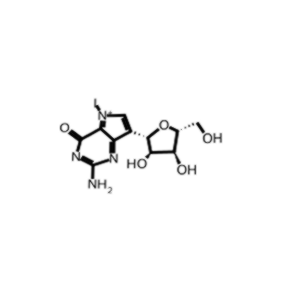 NC1=NC(=O)C2=[N+](I)C=C([C@@H]3O[C@H](CO)[C@@H](O)[C@H]3O)C2=N1